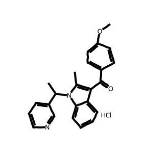 COc1ccc(C(=O)c2c(C)n(C(C)c3cccnc3)c3ccccc23)cc1.Cl